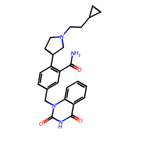 NC(=O)c1cc(Cn2c(=O)[nH]c(=O)c3ccccc32)ccc1C1CCN(CCC2CC2)C1